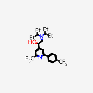 CCC(CC)N(CC(O)c1cc(-c2ccc(C(F)(F)F)cc2)nc(C(F)(F)F)c1)C(CC)CC